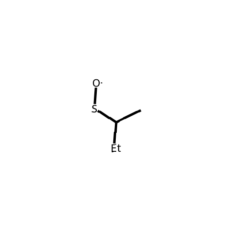 CCC(C)S[O]